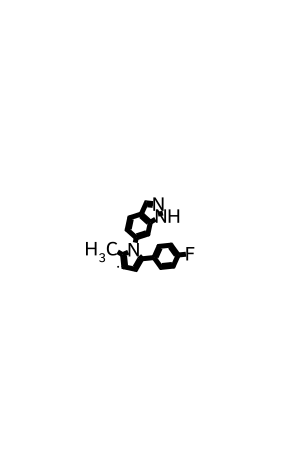 Cc1[c]cc(-c2ccc(F)cc2)n1-c1ccc2cn[nH]c2c1